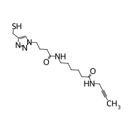 CC#CCNC(=O)CCCCCNC(=O)CCCn1cc(CS)nn1